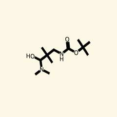 CN(C)C(O)C(C)(C)CNC(=O)OC(C)(C)C